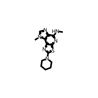 CNc1nc2sc(N3CCCCC3)nc2c2c1ncn2C